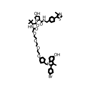 Cc1ncsc1-c1ccc(CNC(=O)[C@@H]2C[C@@H](O)CN2C(=O)[C@@H](NC(=O)COCCOCCOCCOc2ccc(Cn3c(-c4ccc(Br)cc4)c(C)c4cc(O)ccc43)cc2)C(C)(C)C)cc1